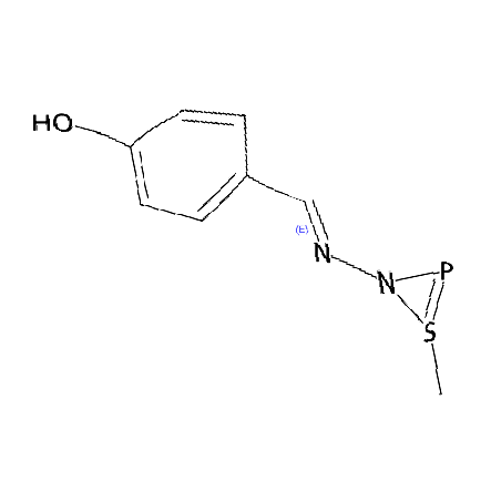 CS1=PN1/N=C/c1ccc(O)cc1